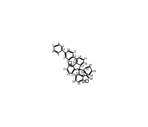 Clc1cc(-c2ccccc2)ccc1-c1cccc2c1-c1ccccc1C2(c1ccccc1)c1cccc2occc12